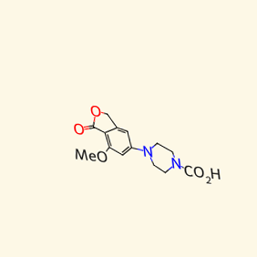 COc1cc(N2CCN(C(=O)O)CC2)cc2c1C(=O)OC2